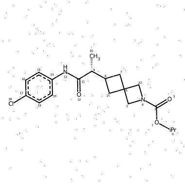 CC(C)OC(=O)N1CC2(CC([C@@H](C)C(=O)Nc3ccc(Cl)cc3)C2)C1